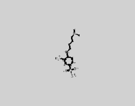 CN(C)CCCCNc1ccc(S(N)(=O)=O)cc1[N+](=O)[O-]